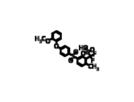 COc1ccccc1Oc1ccc(S(=O)(=O)c2ccc(C)c(C(F)(F)S(=O)(=O)O)c2)cc1